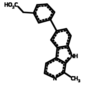 Cc1nccc2c1[nH]c1ccc(-c3cccc(CC(=O)O)c3)cc12